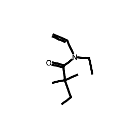 C=CN(CC)C(=O)C(C)(C)CC